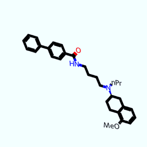 CCCN(CCCCNC(=O)c1ccc(-c2ccccc2)cc1)[C@@H]1CCc2c(cccc2OC)C1